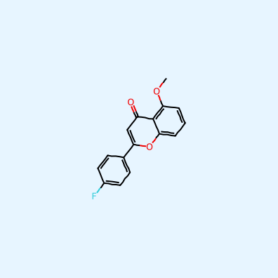 COc1cccc2oc(-c3ccc(F)cc3)cc(=O)c12